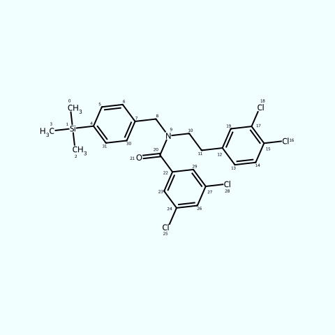 C[Si](C)(C)c1ccc(CN(CCc2ccc(Cl)c(Cl)c2)C(=O)c2cc(Cl)cc(Cl)c2)cc1